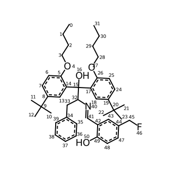 CCCCOc1ccc(C(C)(C)C)cc1C(O)(c1cc(C(C)(C)C)ccc1OCCCC)C(Cc1ccccc1)N=Cc1cc(CF)ccc1O